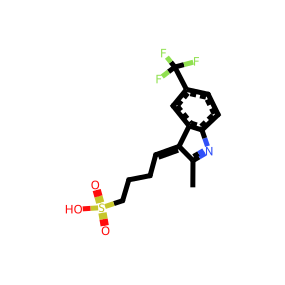 CC1=Nc2ccc(C(F)(F)F)cc2/C1=C/CCCS(=O)(=O)O